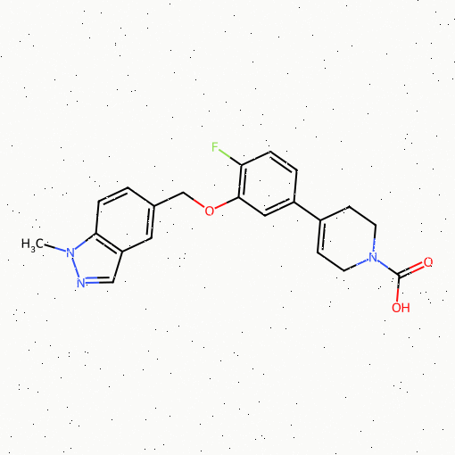 Cn1ncc2cc(COc3cc(C4=CCN(C(=O)O)CC4)ccc3F)ccc21